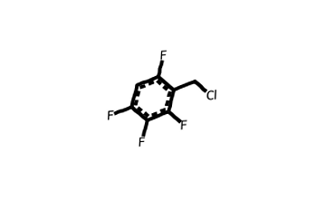 Fc1cc(F)c(CCl)c(F)c1F